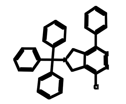 Clc1nnc(-c2ccccc2)c2c1CN(C(c1ccccc1)(c1ccccc1)c1ccccc1)C2